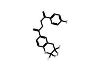 C=C(CCC(=C)c1ccc2c(c1)CC(F)(F)C(F)(F)S2)c1ccc(F)cc1